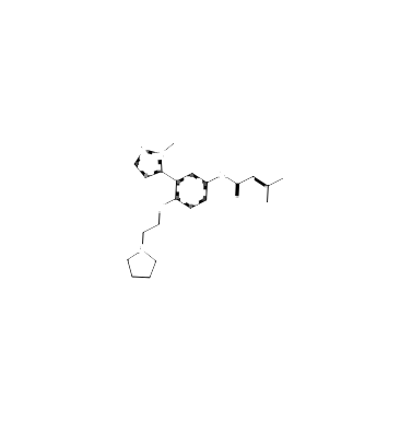 CC(C)=CC(=O)Nc1ccc(OCCN2CCCC2)c(-c2ccnn2C)c1